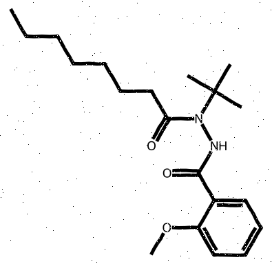 CCCCCCCC(=O)N(NC(=O)c1ccccc1OC)C(C)(C)C